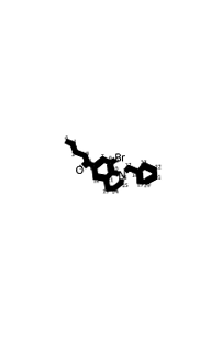 CCCCC(=O)c1cc(Br)c2c(c1)CCCN2Cc1ccccc1